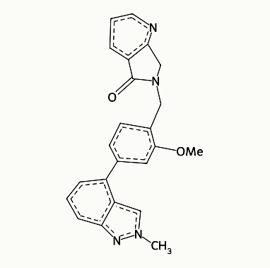 COc1cc(-c2cccc3nn(C)cc23)ccc1CN1Cc2ncccc2C1=O